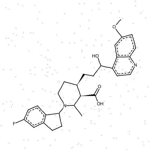 COc1ccc2nccc(C(O)CC[C@@H]3CCN(C4CCc5cc(F)ccc54)C(C)[C@@H]3C(=O)O)c2c1